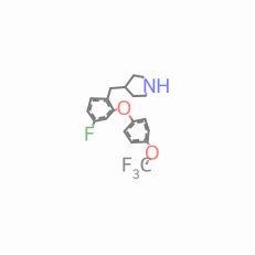 Fc1ccc(CC2CCNCC2)c(Oc2ccc(OC(F)(F)F)cc2)c1